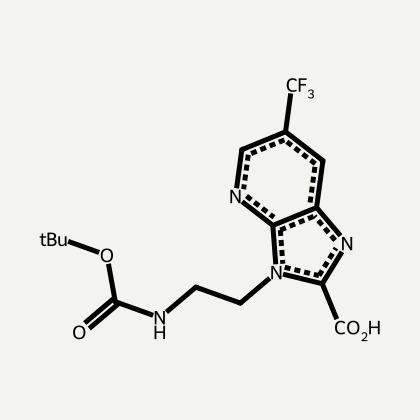 CC(C)(C)OC(=O)NCCn1c(C(=O)O)nc2cc(C(F)(F)F)cnc21